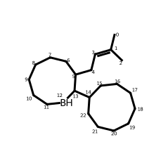 CC(C)=CCC1CCCCCCBC1C1CCCCCCCC1